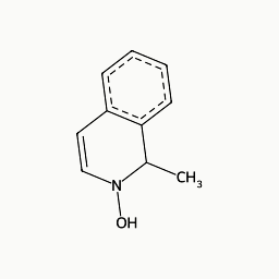 CC1c2ccccc2C=CN1O